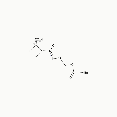 CC(C)(C)C(=O)OCO/N=[N+](\[O-])N1CC[C@H]1C(=O)O